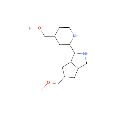 IOCC1CCNC(C2NCC3CC(COI)CC32)C1